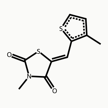 Cc1ccsc1/C=C1\SC(=O)N(C)C1=O